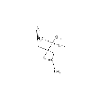 CN1CC(CC#N)(C(C)(C)C)C1